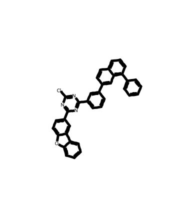 Clc1nc(-c2cccc(-c3ccc4cccc(-c5ccccc5)c4c3)c2)nc(-c2ccc3oc4ccccc4c3c2)n1